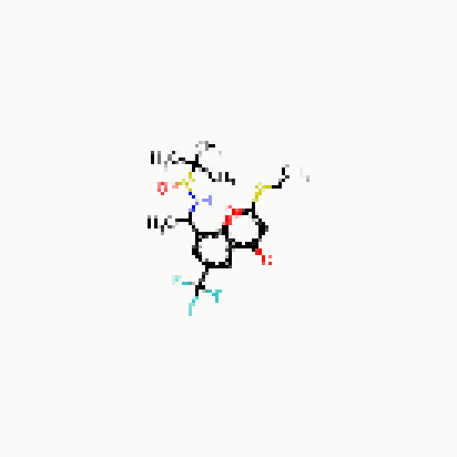 CCSc1cc(=O)c2cc(C(F)(F)F)cc(C(C)N[S+]([O-])C(C)(C)C)c2o1